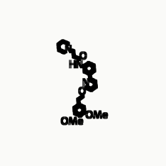 COc1ccc(CCOc2cccc(-c3cccc(NC(=O)CCN4CCCCC4)c3)n2)cc1OC